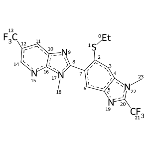 CCSc1cc2c(cc1-c1nc3cc(C(F)(F)F)cnc3n1C)nc(C(F)(F)F)n2C